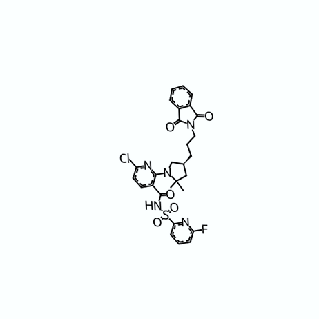 CC1(C)C[C@H](CCCN2C(=O)c3ccccc3C2=O)CN1c1nc(Cl)ccc1C(=O)NS(=O)(=O)c1cccc(F)n1